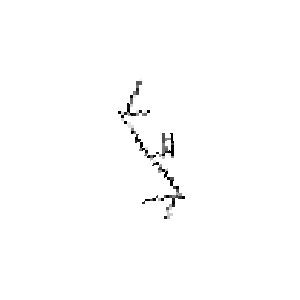 C=C(CCCCCCCCCC(CCCCCCCCC(=C)C(CCCC)CCCCCC)CCNC)C(CCCC)CCCCCC